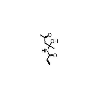 C=CC(=O)NC(C)(O)CC(C)=O